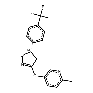 Cc1ccc(OC2=NO[C@H](c3ccc(C(F)(F)F)cc3)C2)cn1